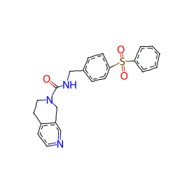 O=C(NCc1ccc(S(=O)(=O)c2ccccc2)cc1)N1CCc2ccncc2C1